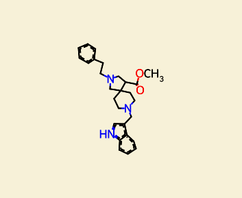 COC(=O)C1CN(CCc2ccccc2)CC12CCN(Cc1c[nH]c3ccccc13)CC2